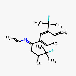 C=C/N=C(CC(CC)C(C)(C)F)/C(=C/CC)/C=C(\C=C)C(C)(C)F